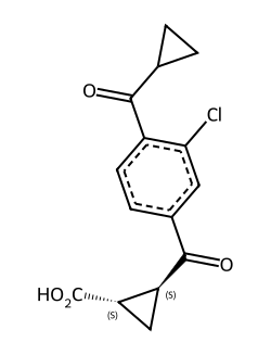 O=C(c1ccc(C(=O)[C@H]2C[C@@H]2C(=O)O)cc1Cl)C1CC1